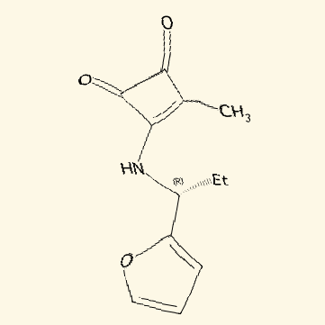 CC[C@@H](Nc1c(C)c(=O)c1=O)c1ccco1